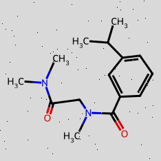 CC(C)c1cccc(C(=O)N(C)CC(=O)N(C)C)c1